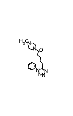 CN1CCN(C(=O)CCCCc2nnnn2-c2ccccc2)CC1